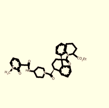 CCOC(=O)C1CCCCN1C(=O)[C@@]1(c2ccccc2)CC[C@H](C(=O)N2CCC(NC(=O)c3cccn(C)c3=O)CC2)c2ccccc21